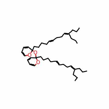 CCCC(=CCCC=CCCCCC1(OC2(CCCCC=CCCC=C(CCC)CCC)C=CC=CO2)C=CC=CO1)CCC